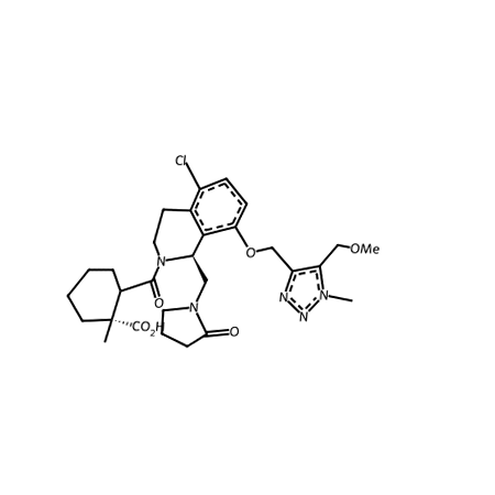 COCc1c(COc2ccc(Cl)c3c2[C@@H](CN2CCCC2=O)N(C(=O)C2CCCC[C@@]2(C)C(=O)O)CC3)nnn1C